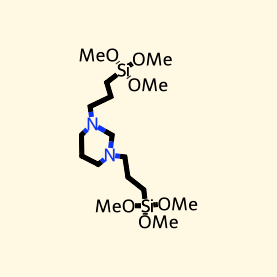 CO[Si](CCCN1CCCN(CCC[Si](OC)(OC)OC)C1)(OC)OC